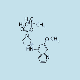 COc1cc(N[C@H]2CCN(C(=O)OC(C)(C)C)C2)c2cccnc2c1